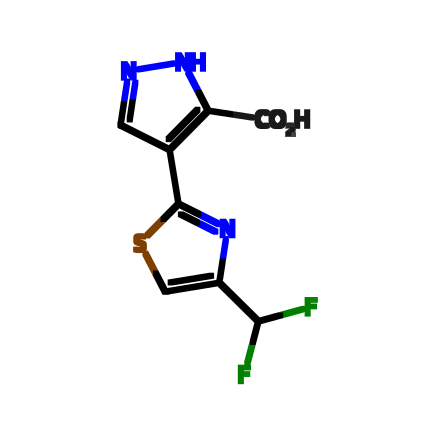 O=C(O)c1[nH]ncc1-c1nc(C(F)F)cs1